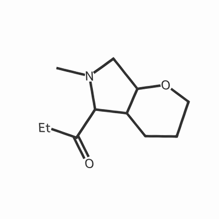 CCC(=O)C1C2CCCOC2CN1C